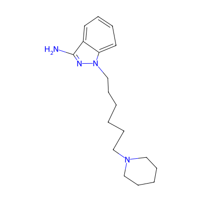 Nc1nn(CCCCCCN2CCCCC2)c2ccccc12